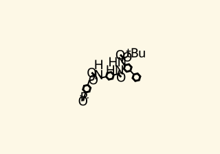 CC(C)(C)OC(=O)Nc1ccc(-c2ccccc2)cc1NC(=O)c1ccc(CNC(=O)OCc2ccc(P(C)(C)=O)cc2)cc1